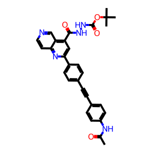 CC(=O)Nc1ccc(C#Cc2ccc(-c3cc(C(=O)NNC(=O)OC(C)(C)C)c4cnccc4n3)cc2)cc1